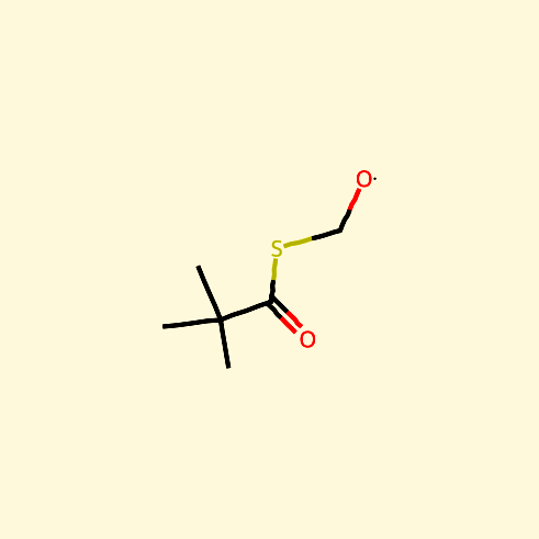 CC(C)(C)C(=O)SC[O]